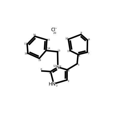 Cc1[nH]cc(Cc2ccccc2)[n+]1Cc1ccccc1.[Cl-]